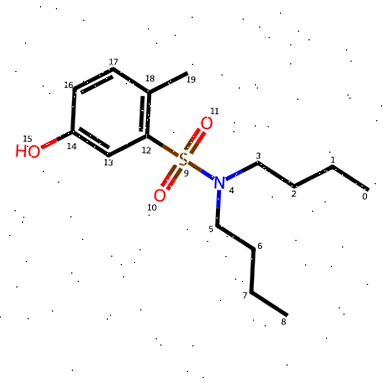 CCCCN(CCCC)S(=O)(=O)c1cc(O)ccc1C